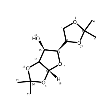 CC1(C)OCC([C@H]2O[C@@H]3OC(C)(C)OC3[C@H]2O)O1